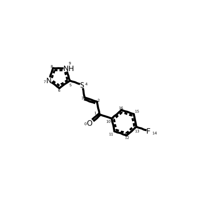 O=C(/C=C/Sc1cnc[nH]1)c1ccc(F)cc1